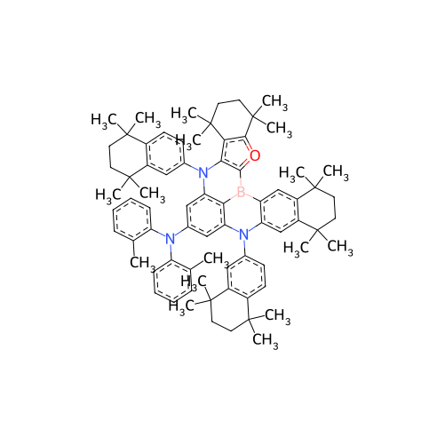 Cc1ccccc1N(c1cc2c3c(c1)N(c1ccc4c(c1)C(C)(C)CCC4(C)C)c1c(oc4c1C(C)(C)CCC4(C)C)B3c1cc3c(cc1N2c1ccc2c(c1)C(C)(C)CCC2(C)C)C(C)(C)CCC3(C)C)c1ccccc1C